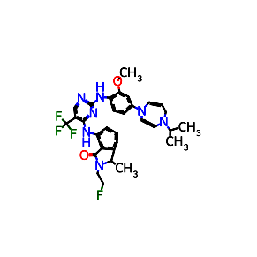 COc1cc(N2C=CCN(C(C)C)C=C2)ccc1Nc1ncc(C(F)(F)F)c(Nc2cccc3c2C(=O)N(CCF)C3C)n1